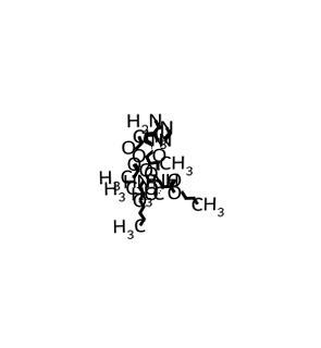 CCCCOC(=O)[C@H](C)NP(=O)(N[C@@H](C)C(=O)OCCCC)OC[C@@]1(C)O[C@@H](c2ccc3c(N)ncnn23)[C@H](OC(=O)CC)[C@@H]1OC(=O)CC